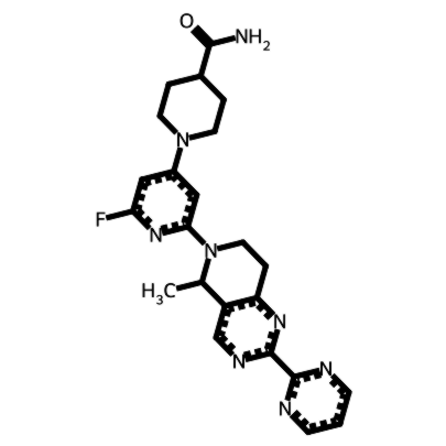 CC1c2cnc(-c3ncccn3)nc2CCN1c1cc(N2CCC(C(N)=O)CC2)cc(F)n1